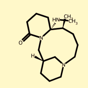 CN[C@@]12CCCC(=O)N1C[C@H]1CCCN(CCC[C@@H]2C)C1